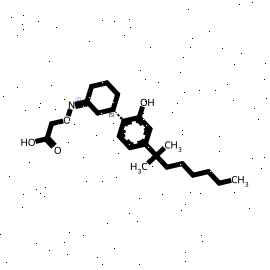 CCCCCCC(C)(C)c1ccc([C@H]2CCC/C(=N/OCC(=O)O)C2)c(O)c1